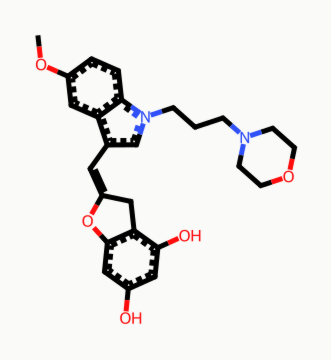 COc1ccc2c(c1)c(C=C1Cc3c(O)cc(O)cc3O1)cn2CCCN1CCOCC1